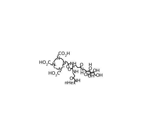 CCCCCCNC(=O)CCNC(=O)[C@H](CCC(=O)NC[C@H](O)[C@@H](O)[C@H](O)[C@H](O)CO)NC(=O)CN1CCN(CC(=O)O)CCN(CC(=O)O)CCN(CC(=O)O)CC1